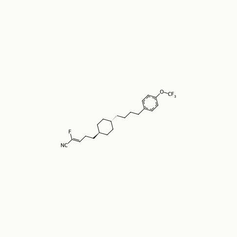 N#C/C(F)=C/CC[C@H]1CC[C@H](CCCCc2ccc(OC(F)(F)F)cc2)CC1